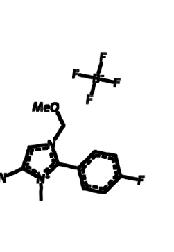 COCn1cc([N+](=O)[O-])[n+](C)c1-c1ccc(F)cc1.F[B-](F)(F)F